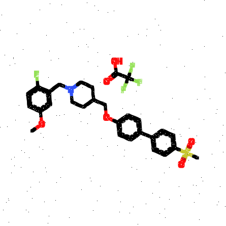 COc1ccc(F)c(CN2CCC(COc3ccc(-c4ccc(S(C)(=O)=O)cc4)cc3)CC2)c1.O=C(O)C(F)(F)F